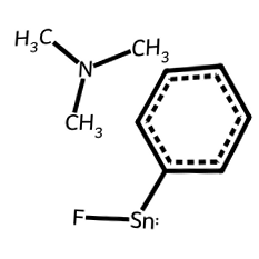 CN(C)C.[F][Sn][c]1ccccc1